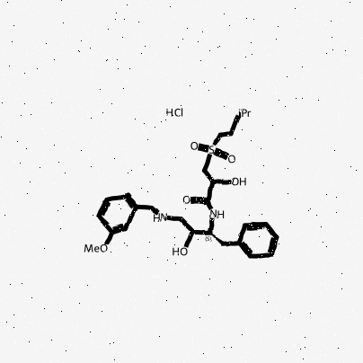 COc1cccc(CNCC(O)[C@H](Cc2ccccc2)NC(=O)C(O)CS(=O)(=O)CCC(C)C)c1.Cl